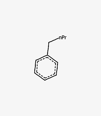 [CH]CCCc1ccccc1